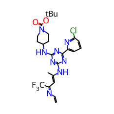 C=C/N=C(\C=C(/C)Nc1nc(NC2CCN(C(=O)OC(C)(C)C)CC2)nc(-c2cccc(Cl)n2)n1)C(F)(F)F